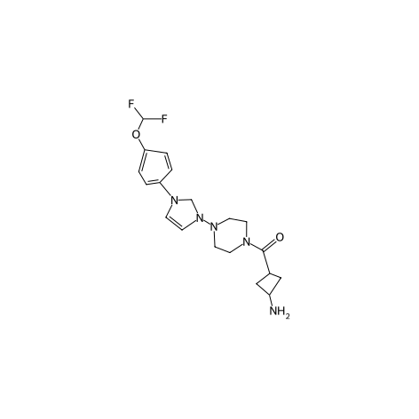 NC1CC(C(=O)N2CCN(N3C=CN(c4ccc(OC(F)F)cc4)C3)CC2)C1